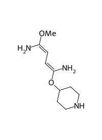 CO/C(N)=C/C=C(\N)OC1CCNCC1